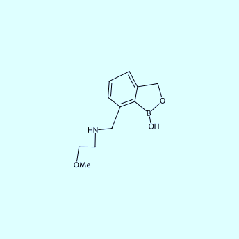 COCCNCc1cccc2c1B(O)OC2